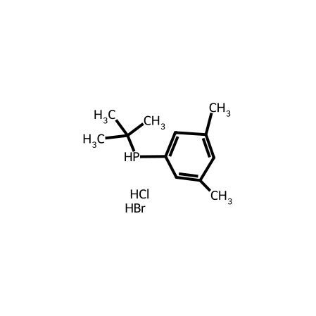 Br.Cc1cc(C)cc(PC(C)(C)C)c1.Cl